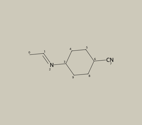 CC=NC1CCC(C#N)CC1